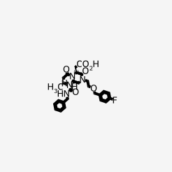 CN1CC(=O)N2[C@@H](CC(=O)O)C(=O)N(CCOCc3ccc(F)cc3)C[C@@H]2N1C(=O)NCc1ccccc1